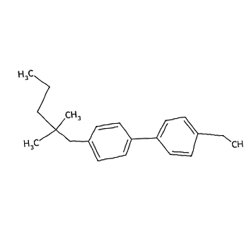 CCCC(C)(C)Cc1ccc(-c2ccc(CC)cc2)cc1